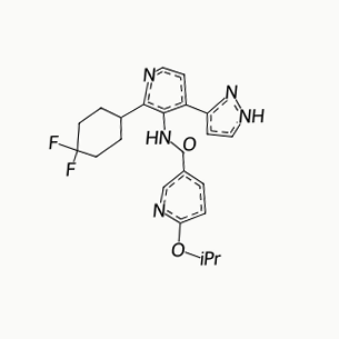 CC(C)Oc1ccc(C(=O)Nc2c(-c3cc[nH]n3)ccnc2C2CCC(F)(F)CC2)cn1